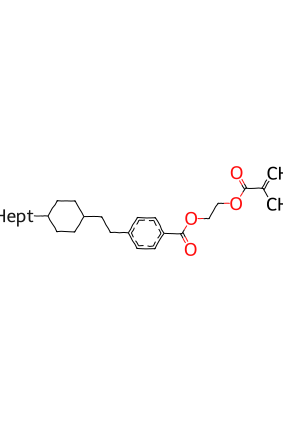 C=C(C)C(=O)OCCOC(=O)c1ccc(CCC2CCC(CCCCCCC)CC2)cc1